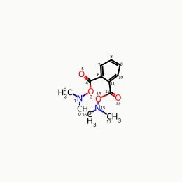 CN(C)OC(=O)c1ccccc1C(=O)ON(C)C